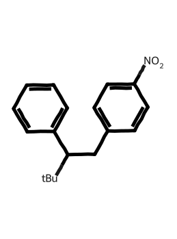 CC(C)(C)[C](Cc1ccc([N+](=O)[O-])cc1)c1ccccc1